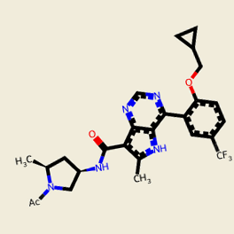 CC(=O)N1C[C@H](NC(=O)c2c(C)[nH]c3c(-c4cc(C(F)(F)F)ccc4OCC4CC4)ncnc23)C[C@@H]1C